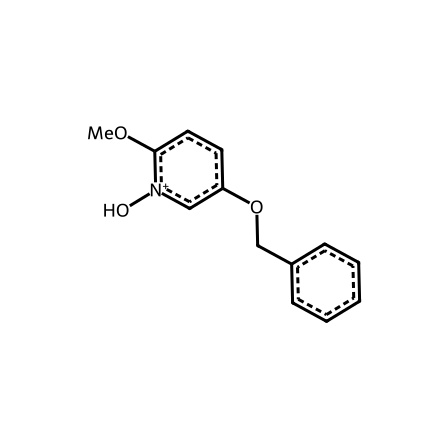 COc1ccc(OCc2ccccc2)c[n+]1O